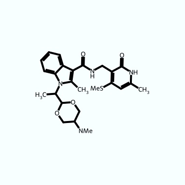 CNC1COC(C(C)n2c(C)c(C(=O)NCc3c(SC)cc(C)[nH]c3=O)c3ccccc32)OC1